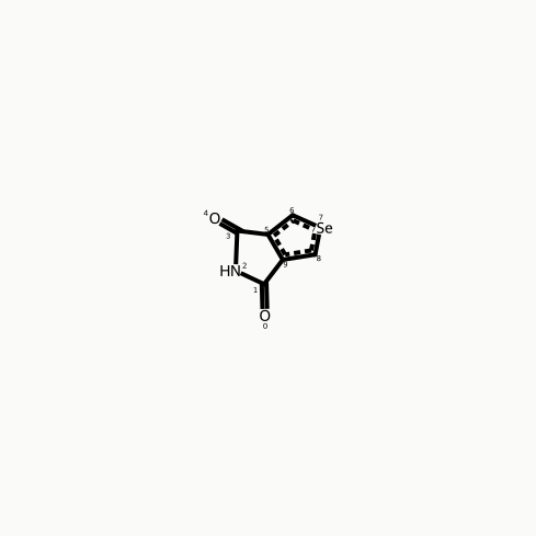 O=C1NC(=O)c2c[se]cc21